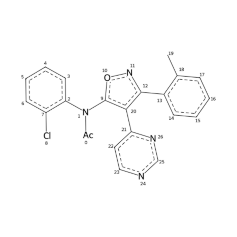 CC(=O)N(c1ccccc1Cl)c1onc(-c2ccccc2C)c1-c1ccncn1